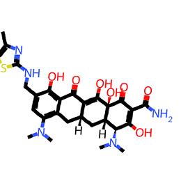 Cc1csc(NCc2cc(N(C)C)c3c(c2O)C(=O)C2=C(O)[C@]4(O)C(=O)C(C(N)=O)=C(O)[C@@H](N(C)C)[C@@H]4C[C@@H]2C3)n1